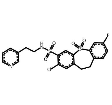 O=S(=O)(NCCc1cccnc1)c1cc2c(cc1Cl)CCc1ccc(F)cc1S2(=O)=O